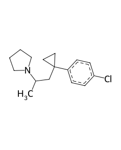 CC(CC1(c2ccc(Cl)cc2)CC1)N1CCCC1